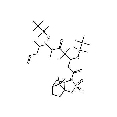 C=CCC(C)[C@H](O[Si](C)(C)C(C)(C)C)C(C)C(=O)C(C)(C)C(CC(=O)N1C2CC3CCC2(CS1(=O)=O)C3(C)C)O[Si](C)(C)C(C)(C)C